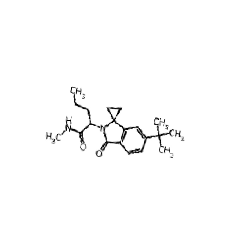 CCCC(C(=O)NC)N1C(=O)c2ccc(C(C)(C)C)cc2C12CC2